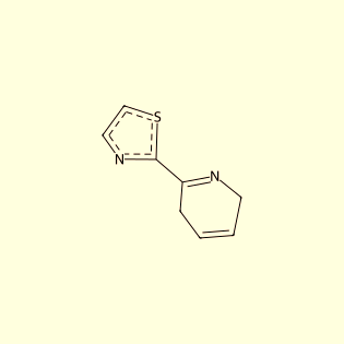 C1=CCC(c2nccs2)=NC1